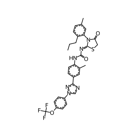 CCCc1ccc(C)cc1N1C(=O)CS/C1=N\C(=O)Nc1ccc(-c2ncn(-c3ccc(OC(F)(F)F)cc3)n2)cc1C